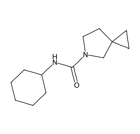 O=C(NC1CCCCC1)N1CCC2(CC2)C1